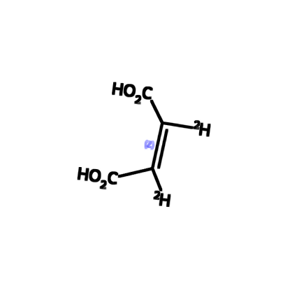 [2H]/C(C(=O)O)=C(\[2H])C(=O)O